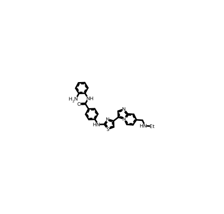 CCNCc1ccn2c(-c3csc(Nc4ccc(C(=O)Nc5ccccc5N)cc4)n3)cnc2c1